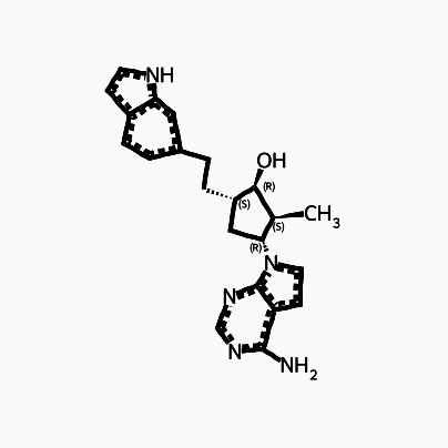 C[C@@H]1[C@H](O)[C@@H](CCc2ccc3cc[nH]c3c2)C[C@H]1n1ccc2c(N)ncnc21